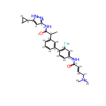 CC(C(=O)Nc1cc(C2CC2)[nH]n1)c1cccc(-c2ccc(NC(=O)/C=C/CN(C)C)cc2F)c1